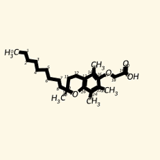 CCCCCCCCC[C@]1(C)CCc2c(C)c(OCC(=O)O)c(C)c(C)c2O1